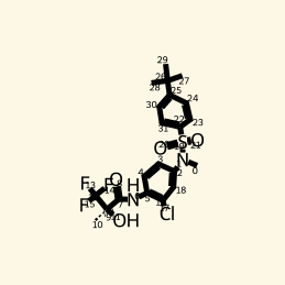 CN(c1ccc(NC(=O)[C@@](C)(O)C(F)(F)F)c(Cl)c1)S(=O)(=O)c1ccc(C(C)(C)C)cc1